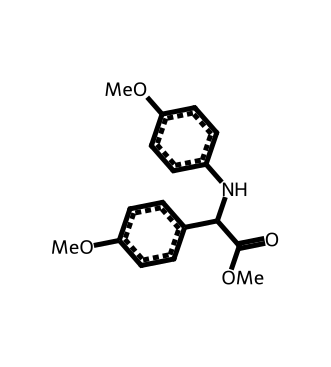 COC(=O)C(Nc1ccc(OC)cc1)c1ccc(OC)cc1